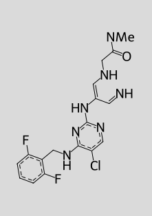 CNC(=O)CN/C=C(\C=N)Nc1ncc(Cl)c(NCc2c(F)cccc2F)n1